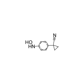 N#CC1(c2ccc(NO)cc2)CC1